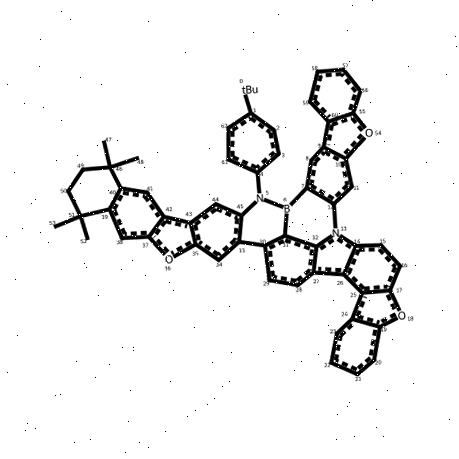 CC(C)(C)c1ccc(N2B3c4cc5c(cc4-n4c6ccc7oc8ccccc8c7c6c6ccc(c3c64)-c3cc4oc6cc7c(cc6c4cc32)C(C)(C)CCC7(C)C)oc2ccccc25)cc1